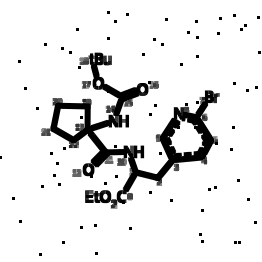 CCOC(=O)C(Cc1ccc(Br)nc1)NC(=O)C1(NC(=O)OC(C)(C)C)CCCC1